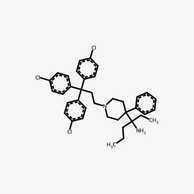 CCCC(N)(CC)C1(c2ccccc2)CCN(CCC(c2ccc(Cl)cc2)(c2ccc(Cl)cc2)c2ccc(Cl)cc2)CC1